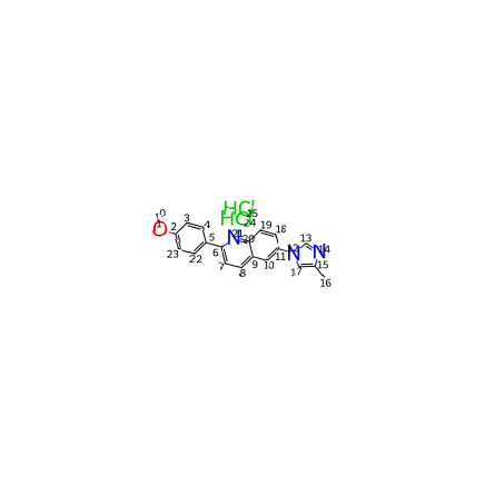 COc1ccc(-c2ccc3cc(-n4cnc(C)c4)ccc3n2)cc1.Cl.Cl